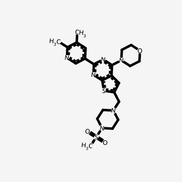 Cc1cc(-c2nc(N3CCOCC3)c3cc(CN4CCN(S(C)(=O)=O)CC4)sc3n2)cnc1C